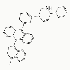 CC1=c2ccccc2=C(C2=c3ccccc3=C(C3=CC(C4C=CC(C5C=CC=CC5)NC4)=CCC3)C3C=CC=CC23)CC1